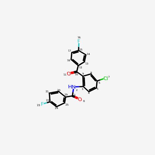 O=C(Nc1ccc(Cl)cc1C(=O)c1ccc(F)cc1)c1ccc(F)cc1